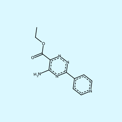 CCOC(=O)c1nnc(-c2ccncc2)nc1N